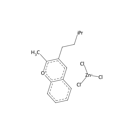 Cc1[o+]c2ccccc2cc1CCC(C)C.[Cl][Zn-]([Cl])[Cl]